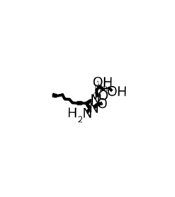 C#CCCCCC#Cc1cn([C@H]2C[C@H](O)[C@@H](CO)O2)c(=O)nc1N